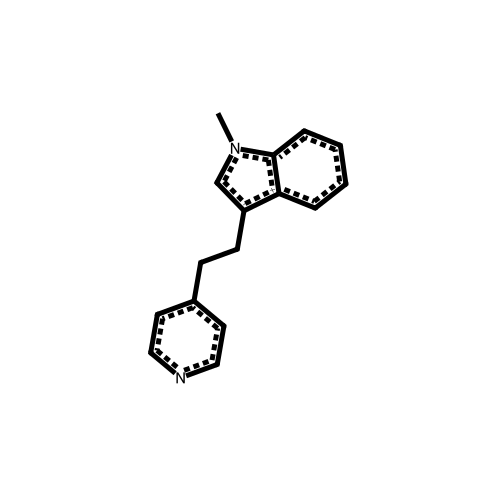 Cn1cc(CCc2ccncc2)c2ccccc21